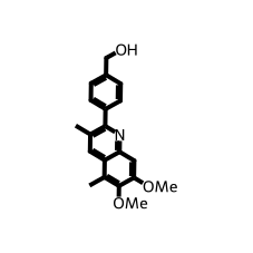 COc1cc2nc(-c3ccc(CO)cc3)c(C)cc2c(C)c1OC